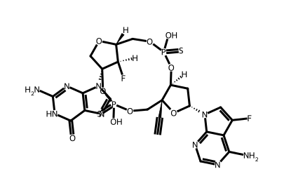 C#C[C@@]12COP(O)(=S)O[C@@]3(n4cnc5c(=O)[nH]c(N)nc54)CO[C@H](COP(O)(=S)O[C@H]1C[C@H](n1cc(F)c4c(N)ncnc41)O2)[C@H]3F